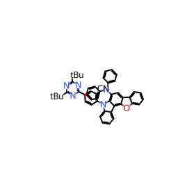 CC(C)(C)c1nc(-c2ccc(-n3c4ccccc4c4c5oc6ccccc6c5cc(N(c5ccccc5)c5ccccc5)c43)c(C#N)c2)nc(C(C)(C)C)n1